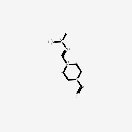 CN(N)N=CN1CCN(C=O)CC1